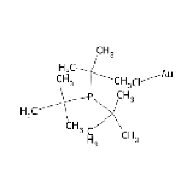 CC(C)(C)P(C(C)(C)C)C(C)(C)C.[Cl][Au]